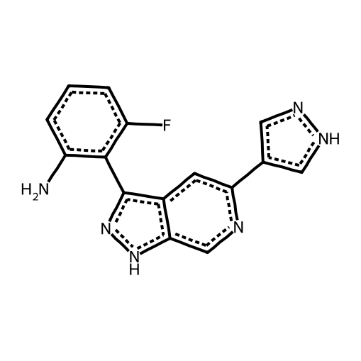 Nc1cccc(F)c1-c1n[nH]c2cnc(-c3cn[nH]c3)cc12